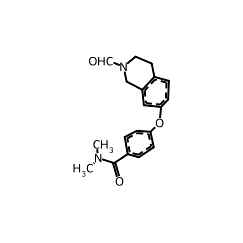 CN(C)C(=O)c1ccc(Oc2ccc3c(c2)CN(C=O)CC3)cc1